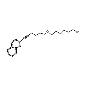 BrCCCCCCOCCCCC#Cc1ccc2ccccc2n1